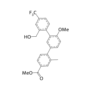 COC(=O)c1ccc(-c2ccc(OC)c(-c3ccc(C(F)(F)F)cc3CO)c2)c(C)c1